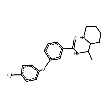 CC(NC(=O)c1cccc(Oc2ccc([N+](=O)[O-])cc2)c1)C1CCCCN1